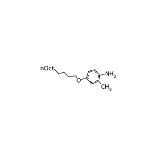 CCCCCCCCCCCCOc1ccc(N)c(C)c1